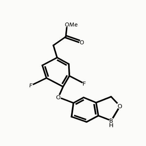 COC(=O)Cc1cc(F)c(Oc2ccc3c(c2)COB3)c(F)c1